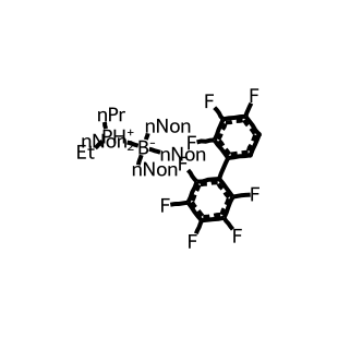 CCCCCCCCC[B-](CCCCCCCCC)(CCCCCCCCC)CCCCCCCCC.CCC[PH2+]CC.Fc1ccc(-c2c(F)c(F)c(F)c(F)c2F)c(F)c1F